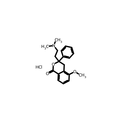 COc1cccc2c1CC(CCN(C)C)(c1ccccc1)OC2=O.Cl